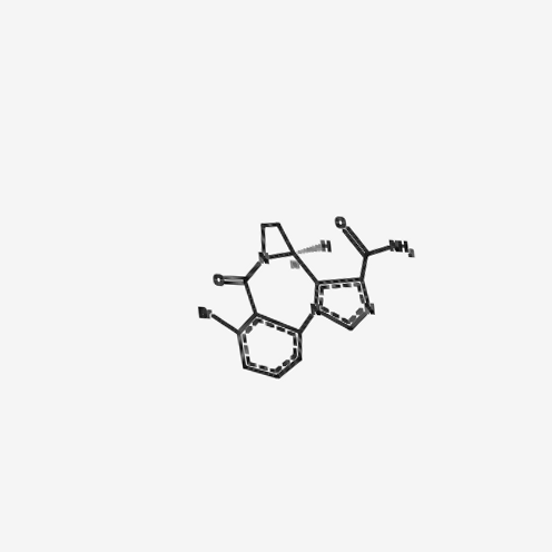 NC(=O)c1ncn2c1[C@@H]1CCN1C(=O)c1c(Br)cccc1-2